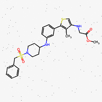 COC(=O)CNc1csc(-c2cccc(NC3CCN(S(=O)(=O)Cc4ccccc4)CC3)c2)c1C